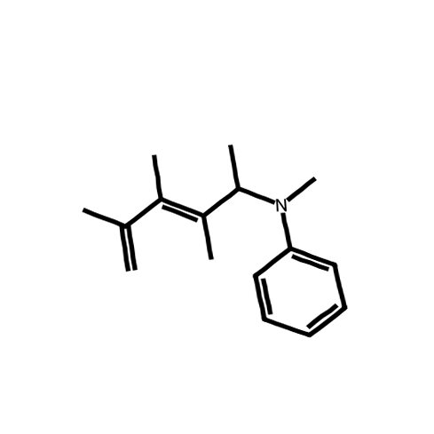 C=C(C)/C(C)=C(\C)C(C)N(C)c1ccccc1